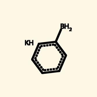 Bc1ccccc1.[KH]